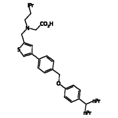 CCCC(CCC)c1ccc(OCc2ccc(-c3csc(CN(CCC(C)C)CC(=O)O)c3)cc2)cc1